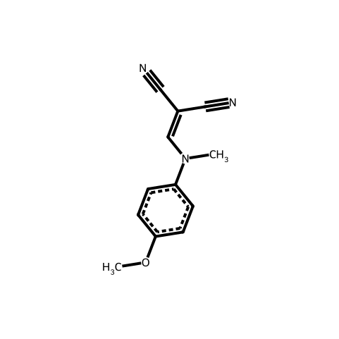 COc1ccc(N(C)C=C(C#N)C#N)cc1